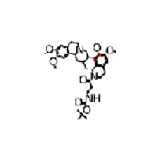 CC[C@H]1CN2CCc3cc(OC)c(OC)cc3C2C[C@@H]1C[C@@H]1c2cc(OC)c(OC)cc2CCN1C(=O)CCNC(=O)OC(C)(C)C